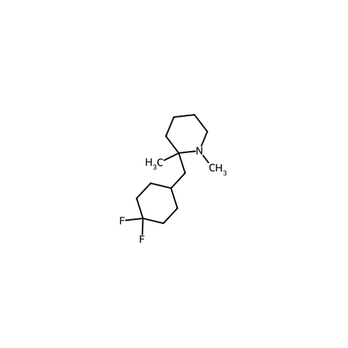 CN1CCCCC1(C)CC1CCC(F)(F)CC1